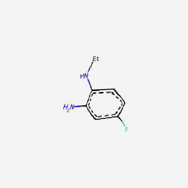 CCNc1ccc(F)cc1N